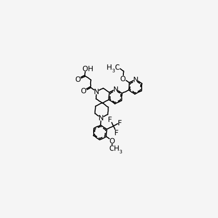 CCOc1ncccc1-c1ccc2c(n1)CN(C(=O)CC(=O)O)CC21CCN(c2cccc(OC)c2C(F)(F)F)CC1